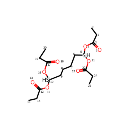 CCC(=O)O[SiH](CCCC[SiH](OC(=O)CC)OC(=O)CC)OC(=O)CC